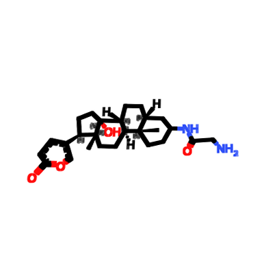 C[C@]12CCC(NC(=O)CN)C[C@H]1CC[C@@H]1[C@@H]2CC[C@]2(C)[C@@H](c3ccc(=O)oc3)CC[C@]12O